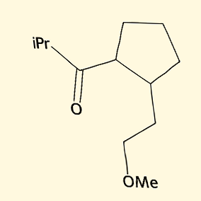 COCCC1CCCC1C(=O)C(C)C